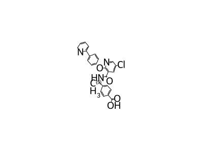 C[C@H](NC(=O)c1cc(Cl)cnc1Oc1ccc(-c2ccccn2)cc1)c1ccc(C(=O)O)cc1